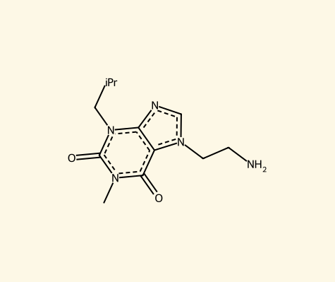 CC(C)Cn1c(=O)n(C)c(=O)c2c1ncn2CCN